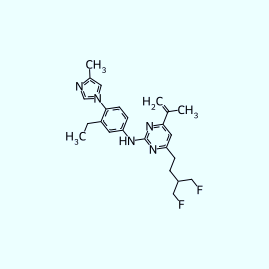 C=C(C)c1cc(CCC(CF)CF)nc(Nc2ccc(-n3cnc(C)c3)c(CC)c2)n1